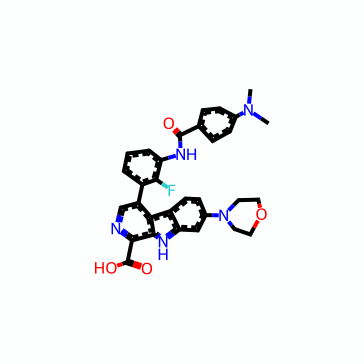 CN(C)c1ccc(C(=O)Nc2cccc(-c3cnc(C(=O)O)c4[nH]c5cc(N6CCOCC6)ccc5c34)c2F)cc1